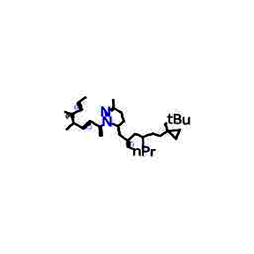 C=C(/C=C/C(C)[C@@H](C)/C=C/C)N1N=C(C)CCC1C/C(=C/CCC)CC(I)CCC1(CC(C)(C)C)CC1